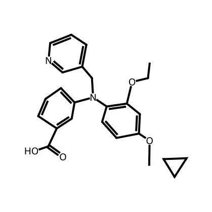 C1CC1.CCOc1cc(OC)ccc1N(Cc1cccnc1)c1cccc(C(=O)O)c1